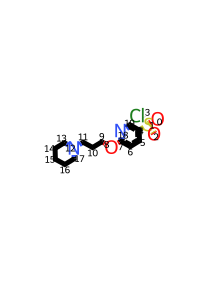 O=S(=O)(Cl)c1ccc(OCCCN2CCCCC2)nc1